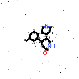 Cc1cccc(-c2cc(=O)[nH]cc2-c2ccncc2)c1